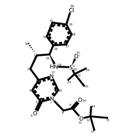 C[C@@H](Cc1cc(=O)n(CC(=O)OC(C)(C)C)cn1)[C@H](N[S@@+]([O-])C(C)(C)C)c1ccc(Cl)cc1